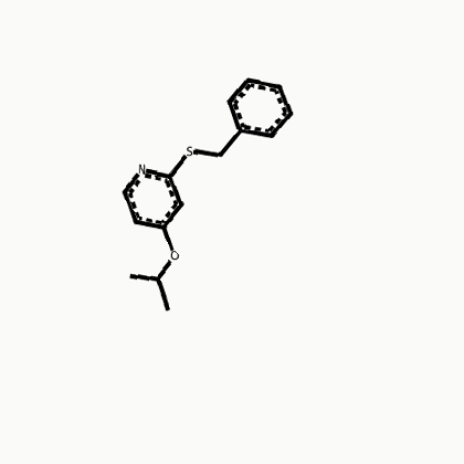 CC(C)Oc1ccnc(SCc2ccccc2)c1